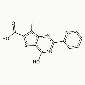 Cc1c(C(=O)O)sc2c(O)nc(-c3ccccn3)nc12